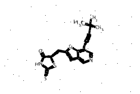 CC(C)(C)C#Cc1cncc2cc(/C=C3\SC(=S)NC3=O)oc12